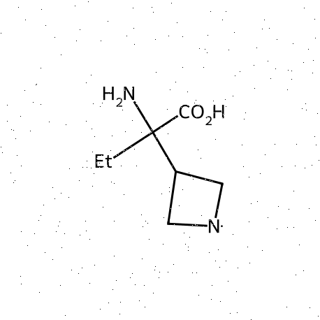 CCC(N)(C(=O)O)C1C[N]C1